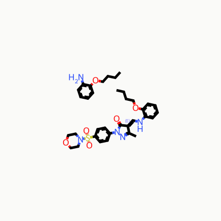 CCCCOc1ccccc1N.CCCCOc1ccccc1N/C=C1/C(=O)N(c2ccc(S(=O)(=O)N3CCOCC3)cc2)N=C1C